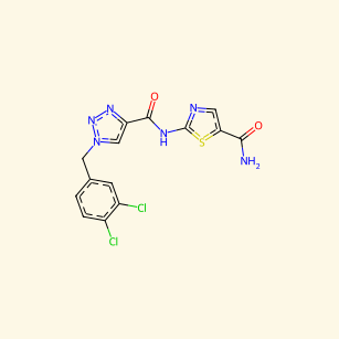 NC(=O)c1cnc(NC(=O)c2cn(Cc3ccc(Cl)c(Cl)c3)nn2)s1